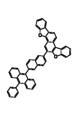 c1ccc(-c2c3ccccc3c(-c3ccc4cc(-c5cc6c(ccc7c8ccccc8oc76)c6c5oc5ccccc56)ccc4c3)c3ccccc23)cc1